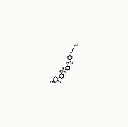 O=C1CCC(c2cccc(NS(=O)(=O)c3cccc(NC(=O)c4ccc(CCCCCCl)cc4)c3)c2)C(=O)N1